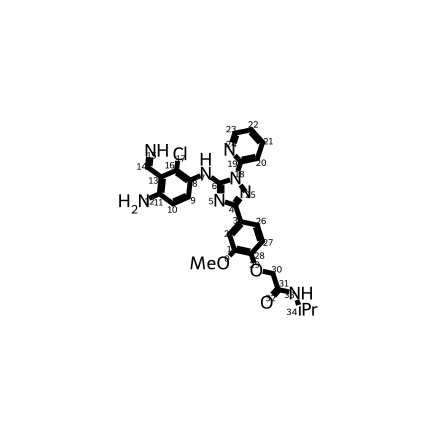 COc1cc(-c2nc(Nc3ccc(N)c(C=N)c3Cl)n(-c3ccccn3)n2)ccc1OCC(=O)NC(C)C